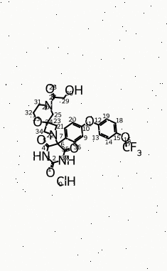 Cl.O=C1NC(=O)C(c2ccc(Oc3ccc(OC(F)(F)F)cc3)cc2)(N2CC3(CN(C(=O)CO)CCO3)C2)C(=O)N1